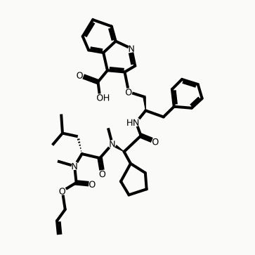 C=CCOC(=O)N(C)[C@H](CC(C)C)C(=O)N(C)[C@@H](C(=O)N[C@@H](COc1cnc2ccccc2c1C(=O)O)Cc1ccccc1)C1CCCC1